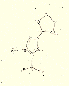 FC(F)c1sc(C2OCCO2)cc1Br